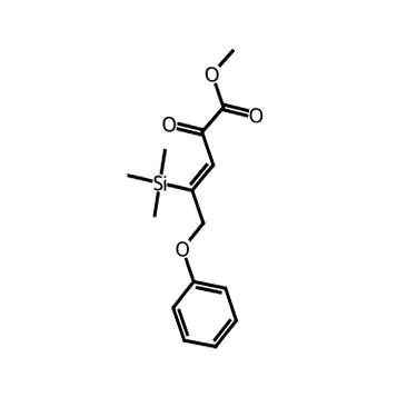 COC(=O)C(=O)C=C(COc1ccccc1)[Si](C)(C)C